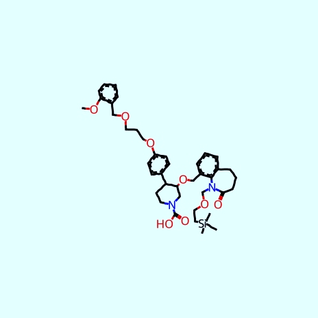 COc1ccccc1COCCCOc1ccc(C2CCN(C(=O)O)CC2OCc2cccc3c2N(COCC[Si](C)(C)C)C(=O)CCC3)cc1